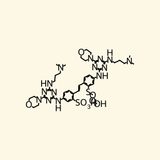 CN(C)CCCNc1nc(Nc2ccc(/C=C/c3ccc(Nc4nc(NCCCN(C)C)nc(N5CCOCC5)n4)cc3S(=O)(=O)O)c(SOOO)c2)nc(N2CCOCC2)n1